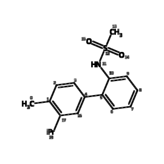 Cc1ccc(-c2ccccc2NS(C)(=O)=O)cc1C(C)C